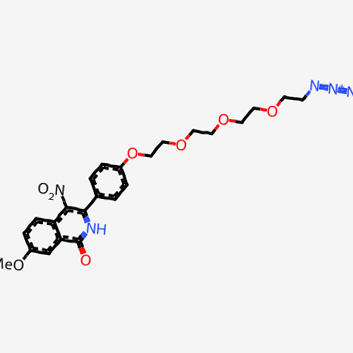 COc1ccc2c([N+](=O)[O-])c(-c3ccc(OCCOCCOCCOCCN=[N+]=[N-])cc3)[nH]c(=O)c2c1